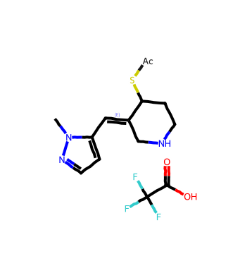 CC(=O)SC1CCNC/C1=C\c1ccnn1C.O=C(O)C(F)(F)F